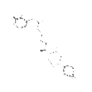 Cc1c(N[C@@H](C)COCCC(=O)N2CCN(c3ncc(C(F)(F)F)cn3)C[C@H]2C)cn[nH]c1=O